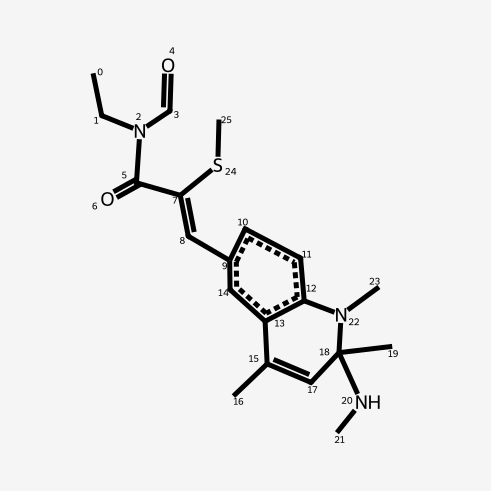 CCN(C=O)C(=O)/C(=C/c1ccc2c(c1)C(C)=CC(C)(NC)N2C)SC